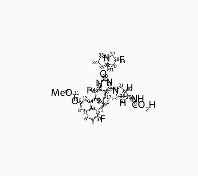 C#Cc1c(F)ccc2cc(OCOC)cc(-c3ncc4c(N5C[C@@H]6[C@H](C5)[C@H]6NC(=O)O)nc(OC[C@@]56CCCN5C[C@H](F)C6)nc4c3F)c12